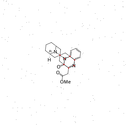 COC(=O)Cc1nc2ccccc2n(C2CC3CCC[C@H](C2)N3C2CC3CCCC(C3)C2)c1=O